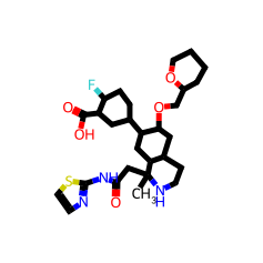 CC1(CC(=O)Nc2nccs2)NCCC2CC(OCC3CCCCO3)C(C3CCC(F)C(C(=O)O)C3)CC21